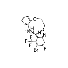 C[C@H]1Nc2nc(nc3cc(F)c(Br)c(C(F)(F)F)c23)CCCCc2ccccc21